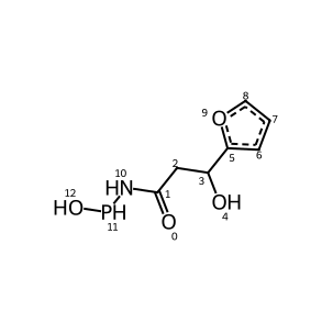 O=C(CC(O)c1ccco1)NPO